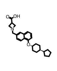 O=C(O)C1CN(Cc2ccc3c(O[C@H]4CC[C@H](C5CCCC5)CC4)cccc3c2)C1